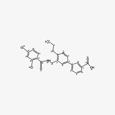 CCOc1ncc(-c2cccc(C(=O)O)c2)cc1CNC(=O)c1ccc(Cl)cc1Cl